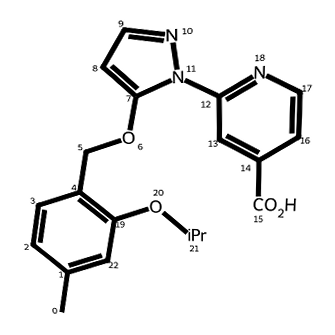 Cc1ccc(COc2ccnn2-c2cc(C(=O)O)ccn2)c(OC(C)C)c1